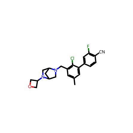 Cc1cc(CN2CC3CC2CN3C2COC2)c(Cl)c(-c2ccc(C#N)c(F)c2)c1